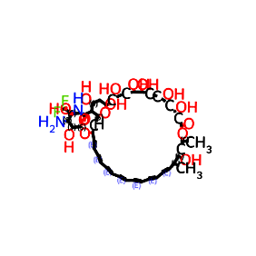 C[C@H]1C[C@H](O)[C@@H](C)/C=C/C=C/C=C/C=C/C=C/C=C/C=C/C(O[C@@H]2OC[C@@H](O)[C@H](N)[C@@H]2O)C[C@@H]2OC(O)(CC(O)CC(O)C(O)CCC(O)CC(O)CC(=O)O1)C[C@H](O)C2C(=O)NCC(F)F